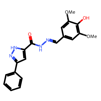 COc1cc(/C=N/NC(=O)c2cc(-c3ccccc3)n[nH]2)cc(OC)c1O